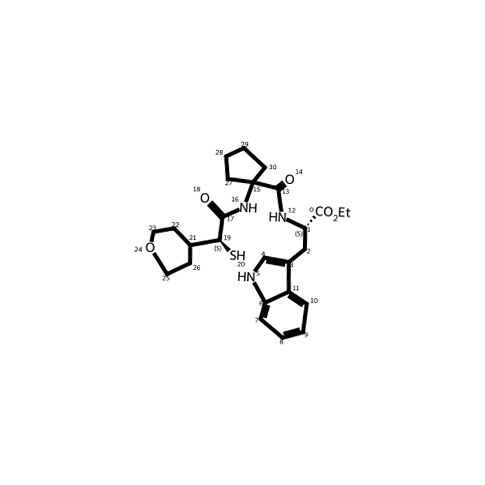 CCOC(=O)[C@H](Cc1c[nH]c2ccccc12)NC(=O)C1(NC(=O)[C@@H](S)C2CCOCC2)CCCC1